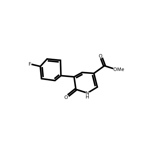 COC(=O)c1c[nH]c(=O)c(-c2ccc(F)cc2)c1